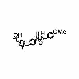 COc1ccc(CNC(=O)Nc2ccc(CN3CCN(CC(C)(C)O)CC3C)cc2)cc1